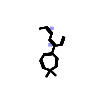 C=C/C(=C\C=C/C)C1=CC=CC(C)(C)C=C1